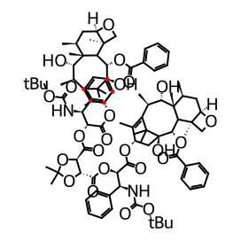 CC1=C2[C@@H](C)[C@H](O)[C@@]3(C)C([C@H](OC(=O)c4ccccc4)[C@](O)(C[C@@H]1OC(=O)[C@H](OC(=O)[C@@H]1OC(C)(C)O[C@H]1C(=O)O[C@@H](C(=O)O[C@H]1C[C@@]4(O)[C@@H](OC(=O)c5ccccc5)C5[C@@](C)([C@@H](C)C[C@H]6OC[C@@]56C)[C@@H](O)[C@H](C)C(=C1C)C4(C)C)[C@@H](NC(=O)OC(C)(C)C)c1ccccc1)[C@@H](NC(=O)OC(C)(C)C)c1ccccc1)C2(C)C)[C@]1(C)CO[C@@H]1C[C@@H]3C